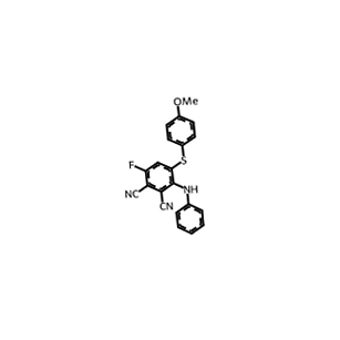 COc1ccc(Sc2cc(F)c(C#N)c(C#N)c2Nc2ccccc2)cc1